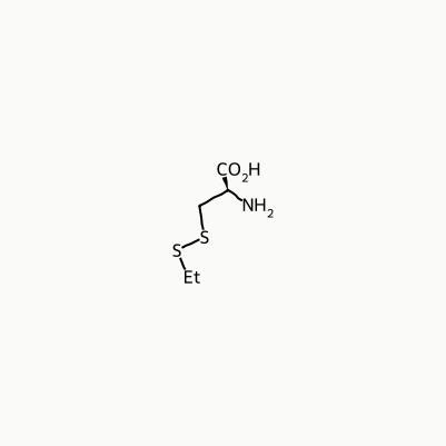 CCSSC[C@H](N)C(=O)O